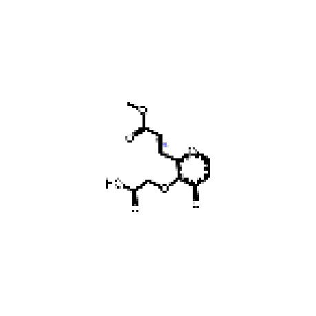 COC(=O)/C=C/c1occc(=O)c1OCC(=O)O